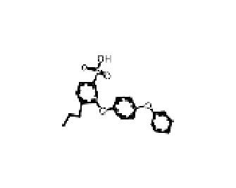 CCCc1ccc(S(=O)(=O)O)cc1Oc1ccc(Oc2ccccc2)cc1